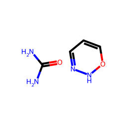 C1=CONN=C1.NC(N)=O